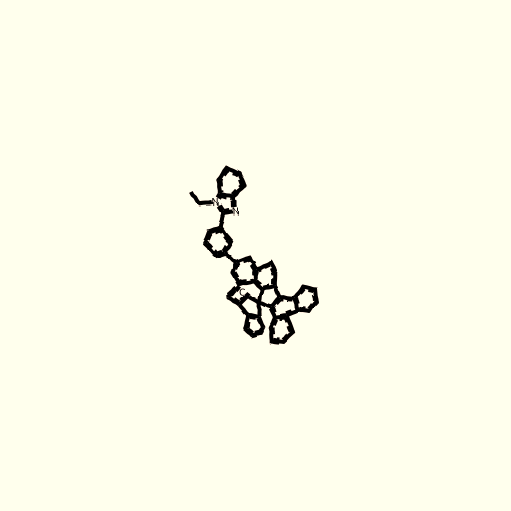 CCn1c(-c2cccc(-c3ccc4c5c(ccc4c3)-c3c(c4ccccc4c4ccccc34)C53c4ccccc4-c4ccccc43)c2)nc2ccccc21